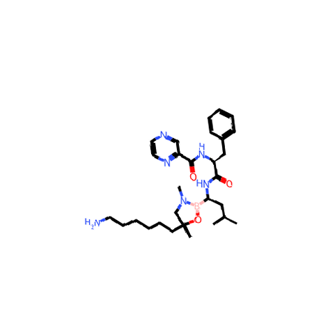 CC(C)CC(NC(=O)[C@H](Cc1ccccc1)NC(=O)c1cnccn1)B1OC(C)(CCCCCCN)CN1C